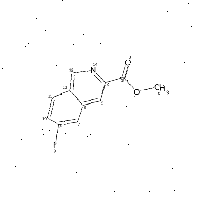 COC(=O)c1cc2cc(F)ccc2cn1